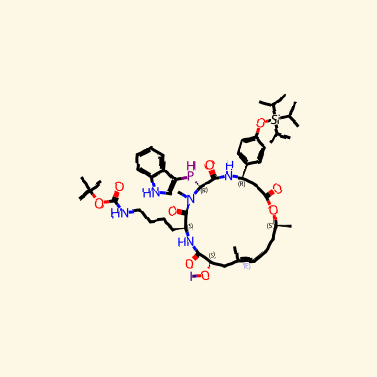 C/C1=C\CC[C@H](C)OC(=O)C[C@H](c2ccc(O[Si](C(C)C)(C(C)C)C(C)C)cc2)NC(=O)[C@@H](Pc2c[nH]c3ccccc23)N(C)C(=O)[C@H](CCCCNC(=O)OC(C)(C)C)NC(=O)[C@@H](OI)C1